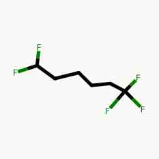 F[C](F)CCCCC(F)(F)F